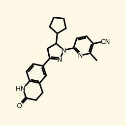 Cc1nc(N2N=C(c3ccc4c(c3)CCC(=O)N4)CC2C2CCCC2)ccc1C#N